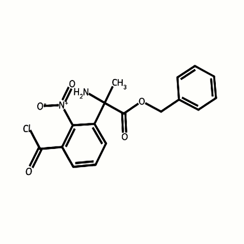 CC(N)(C(=O)OCc1ccccc1)c1cccc(C(=O)Cl)c1[N+](=O)[O-]